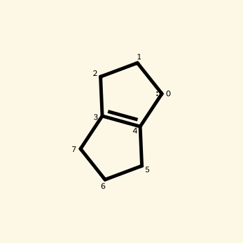 [C]1CCC2=C1CCC2